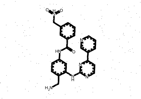 NCc1ccc(NC(=O)c2cccc(C[SH](=O)=O)c2)cc1Nc1nccc(-c2cccnc2)n1